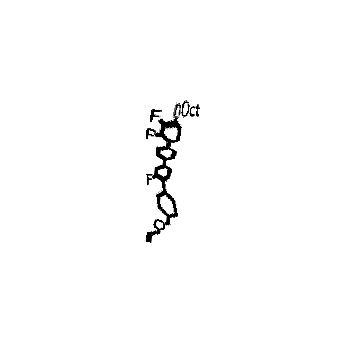 C=CCOCC1CCC(c2ccc(-c3ccc(-c4ccc(CCCCCCCC)c(F)c4F)cc3)cc2F)CC1